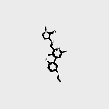 CCOc1ccc(F)c(-c2cc(C)nc(/C=N/C3CCN(C)C3=O)c2C)c1